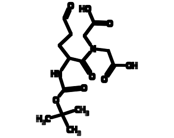 CC(C)(C)OC(=O)NC(CCC=O)C(=O)N(CC(=O)O)CC(=O)O